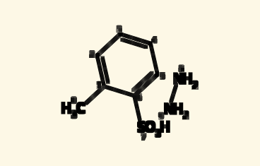 Cc1ccccc1S(=O)(=O)O.NN